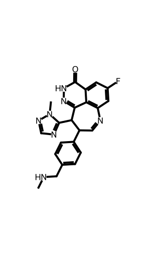 CNCc1ccc(C2C=Nc3cc(F)cc4c(=O)[nH]nc(c34)C2c2ncnn2C)cc1